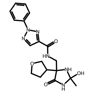 CC1(O)NC(=O)C(CNC(=O)c2cnn(-c3ccccc3)n2)(C2CCOC2)N1